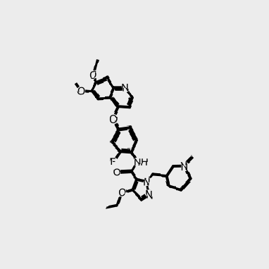 CCOc1cnn(CC2CCCN(C)C2)c1C(=O)Nc1ccc(Oc2ccnc3cc(OC)c(OC)cc23)cc1F